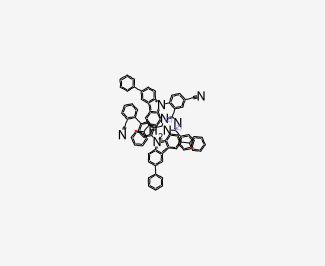 N#Cc1ccc(-n2c3ccc(-c4ccccc4)cc3c3cc(-c4ccccc4)ccc32)c(C(/N=C(\N)c2ccccc2)=N/Cc2cc(-c3ccccc3C#N)ccc2-n2c3ccc(-c4ccccc4)cc3c3cc(-c4ccccc4)ccc32)c1